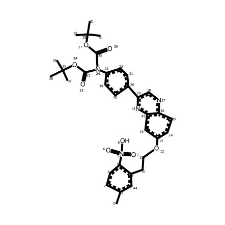 Cc1ccc(S(=O)(=O)O)c(CCOc2ccc3ncc(-c4ccc(N(C(=O)OC(C)(C)C)C(=O)OC(C)(C)C)cc4)nc3c2)c1